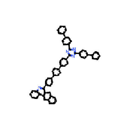 c1ccc(-c2ccc(-c3nc(-c4ccc(-c5ccccc5)cc4)nc(-c4ccc(-c5ccc(-c6ccc(-c7nc8ccccc8c8cc9ccccc9cc78)cc6)cc5)cc4)n3)cc2)cc1